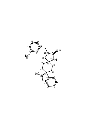 CCN(C)[C@]1(c2ccccc2)CC[C@]2(CC1)CN(Cc1cccc(C#N)c1)C(=O)N2